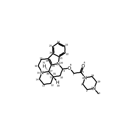 CN1CCN(C(=O)COC2C[C@@H]3CCCN4CCc5c(n2c2ccccc52)[C@@H]34)CC1